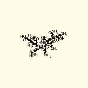 CC(C)C[C@H](NC(=O)[C@H](CC(=O)O)NC(=O)[C@H](CCCCN)NC(=O)[C@H](CCCNC(=N)N)NC(=O)[C@@H](NC(=O)[C@H](CC(C)C)NC(=O)[C@@H](N)CCC(=O)O)C(C)C)C(=O)N[C@@H](CCC(N)=O)C(=O)N[C@@H](CC(N)=O)C(=O)O